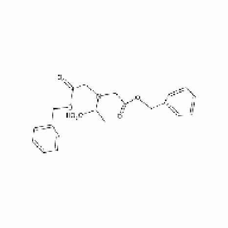 CC(C(=O)O)N(CC(=O)OCc1ccccc1)CC(=O)OCc1ccccc1